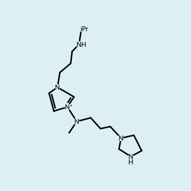 CC(C)NCCCn1cc[n+](N(C)CCCN2CCNC2)c1